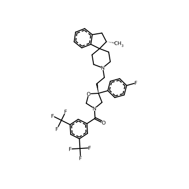 C[C@H]1Cc2ccccc2C12CCN(CC[C@@]1(c3ccc(F)cc3)CN(C(=O)c3cc(C(F)(F)F)cc(C(F)(F)F)c3)CO1)CC2